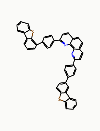 c1ccc2c(c1)sc1ccc(-c3ccc(-c4ccc5ccc6ccc(-c7ccc(-c8cccc9c8sc8ccccc89)cc7)nc6c5n4)cc3)cc12